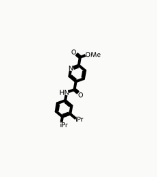 COC(=O)c1ccc(C(=O)Nc2ccc(C(C)C)c(C(C)C)c2)cn1